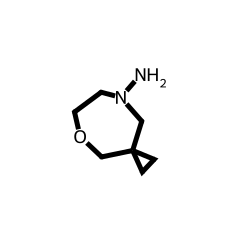 NN1CCOCC2(CC2)C1